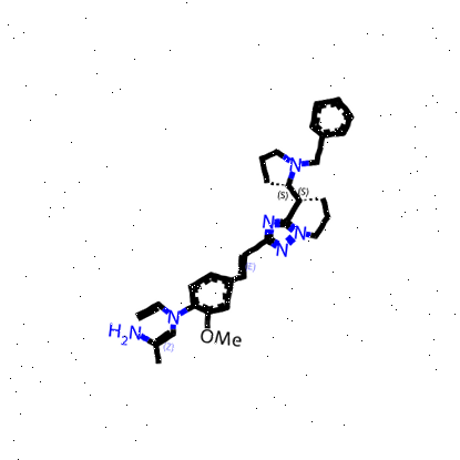 C=CN(/C=C(/C)N)c1ccc(/C=C/c2nc3n(n2)CCC[C@H]3[C@@H]2CCCN2Cc2ccccc2)cc1OC